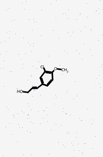 COc1ccc(/C=C/CO)cc1Cl